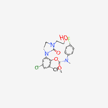 CN(C(=O)Oc1c(N2CCN(CCO)C2=O)cc(Cl)cc1C(F)(F)F)c1ccc(F)cc1